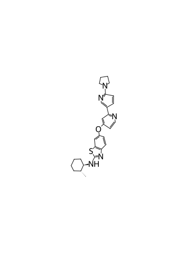 C[C@@H]1CCCC[C@H]1Nc1nc2ccc(Oc3ccnc(-c4ccc(N5CCCC5)nc4)c3)cc2s1